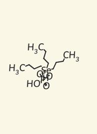 CCCC[SeH]1(CCCC)(CCCC)OP(=O)(O)O1